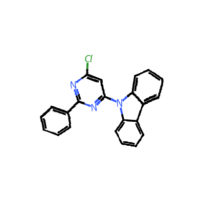 Clc1cc(-n2c3ccccc3c3ccccc32)nc(-c2ccccc2)n1